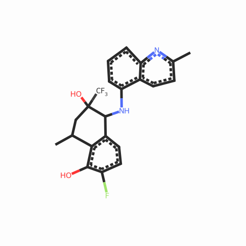 Cc1ccc2c(NC3c4ccc(F)c(O)c4C(C)CC3(O)C(F)(F)F)cccc2n1